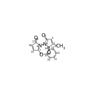 CC1=CC(=O)N([N+]2=C(Oc3ccccc3)C=CC2=O)C1=O